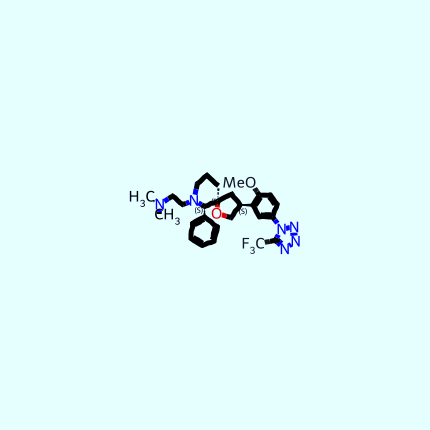 COc1ccc(-n2nnnc2C(F)(F)F)cc1[C@H]1CO[C@]2(CCCN(CCN(C)C)[C@H]2c2ccccc2)C1